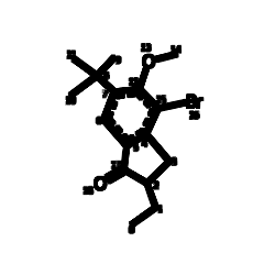 CCC1Cc2c(cc(C(C)(C)C)c(OC)c2Br)C1=O